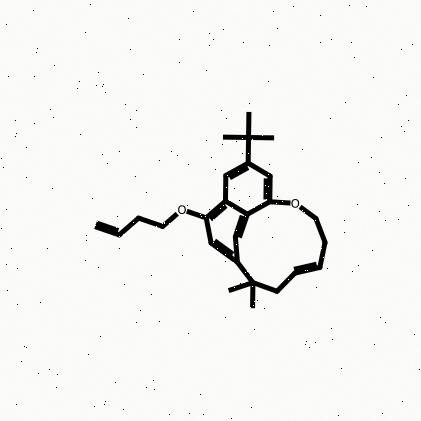 C=CCCOc1cc2cc3c(cc(C(C)(C)C)cc13)OCC/C=C/CC2(C)C